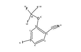 N#Cc1ccc(I)cc1OC(F)(F)F